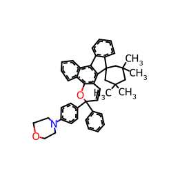 CC1(C)CC(C)(C)CC2(C1)c1ccccc1-c1c2c2c(c3ccccc13)OC(c1ccccc1)(c1ccc(N3CCOCC3)cc1)C=C2